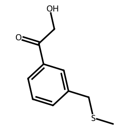 CSCc1cccc(C(=O)CO)c1